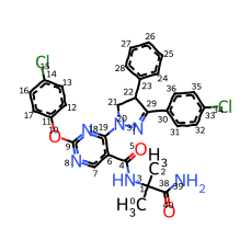 CC(C)(NC(=O)c1cnc(Oc2ccc(Cl)cc2)nc1N1CC(c2ccccc2)C(c2ccc(Cl)cc2)=N1)C(N)=O